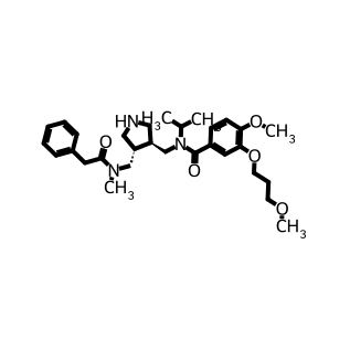 COCCCOc1cc(C(=O)N(C[C@@H]2CNC[C@H]2CN(C)C(=O)Cc2ccccc2)C(C)C)ccc1OC